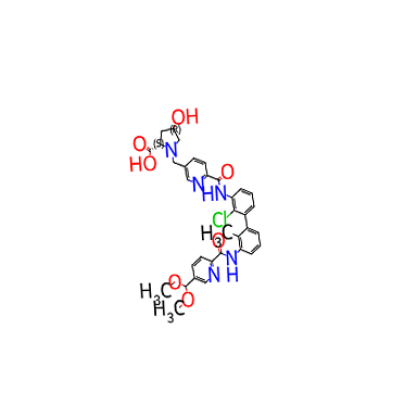 COC(OC)c1ccc(C(=O)Nc2cccc(-c3cccc(NC(=O)c4ccc(CN5C[C@H](O)C[C@H]5C(=O)O)cn4)c3Cl)c2C)nc1